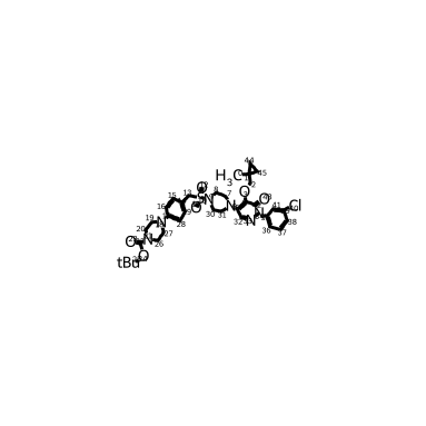 CC1(COc2c(N3CCN(S(=O)(=O)Cc4ccc(N5CCN(C(=O)OC(C)(C)C)CC5)cc4)CC3)cnn(-c3cccc(Cl)c3)c2=O)CC1